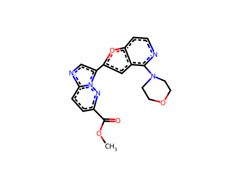 COC(=O)c1ccc2ncc(-c3cc4c(N5CCOCC5)nccc4o3)n2n1